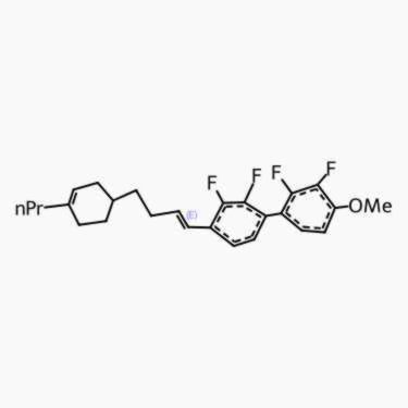 CCCC1=CCC(CC/C=C/c2ccc(-c3ccc(OC)c(F)c3F)c(F)c2F)CC1